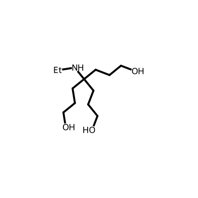 CCNC(CCCO)(CCCO)CCCO